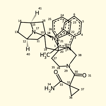 Cc1nc2ccccc2n1[C@H]1C[C@H]2CC[C@@H](C1)N2CCC1(c2ccccc2)CCN(C(=O)C2(C(N)=O)CC2)CC1